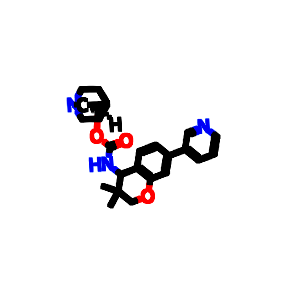 CC1(C)COc2cc(-c3cccnc3)ccc2C1NC(=O)O[C@H]1CN2CCC1CC2